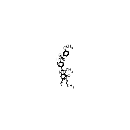 CCCn1c(C#N)nc2nc(-c3ccc(NS(=O)(=O)c4cccc(OC)c4)nc3)n(C)c2c1=O